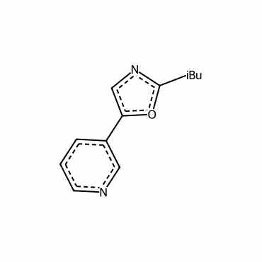 CCC(C)c1ncc(-c2cccnc2)o1